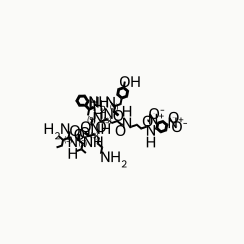 CCC(C)[C@H](NC(=O)[C@@H](NC(=O)[C@H](CCCCN)NC(=O)[C@H](Cc1c[nH]c2ccccc12)NC(=O)[C@H](CCC(=O)NCCCCNc1ccc([N+](=O)[O-])cc1[N+](=O)[O-])NC(=O)[C@@H](N)Cc1ccc(O)cc1)C(C)C)C(N)=O